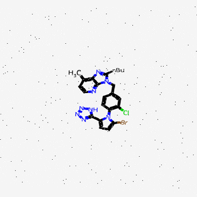 CCCCc1nc2c(C)ccnc2n1Cc1ccc(-n2c(Br)ccc2-c2nnn[nH]2)c(Cl)c1